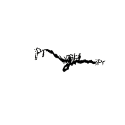 CC(C)CCCCCCCCCCP(O)(O)(O)C(CCCCCCCCCC(C)C)c1ccccc1